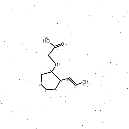 CC=CC1CCCCC1OCC(=O)O